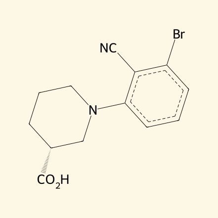 N#Cc1c(Br)cccc1N1CCC[C@@H](C(=O)O)C1